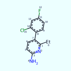 CCc1nc(N)ccc1-c1ccc(F)cc1Cl